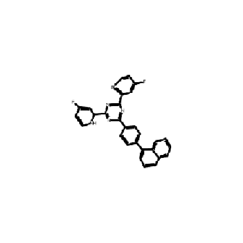 FC1=CC(c2nc(-c3ccc(-c4cccc5ccccc45)cc3)nc(-c3cc(F)ccn3)n2)NC=C1